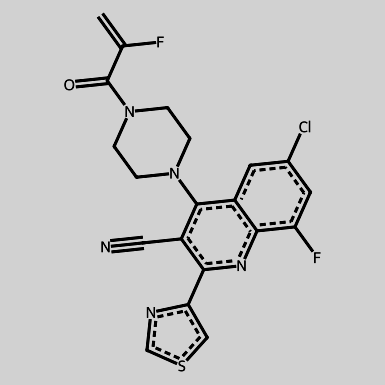 C=C(F)C(=O)N1CCN(c2c(C#N)c(-c3cscn3)nc3c(F)cc(Cl)cc23)CC1